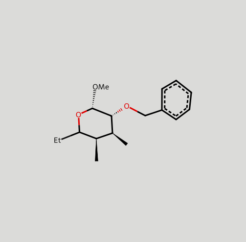 CCC1O[C@H](OC)[C@H](OCc2ccccc2)[C@@H](C)[C@H]1C